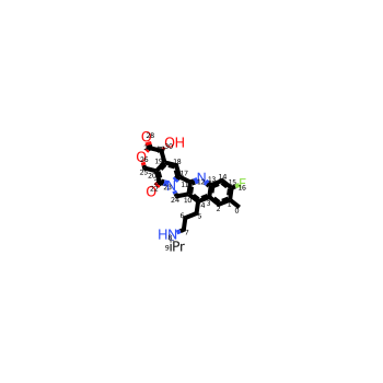 Cc1cc2c(CCCNC(C)C)c3c(nc2cc1F)-c1cc2c(c(=O)n1C3)COC(=O)[C@H]2O